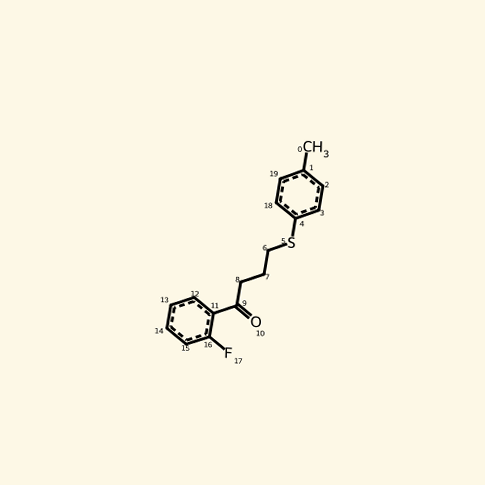 Cc1ccc(SCCCC(=O)c2ccccc2F)cc1